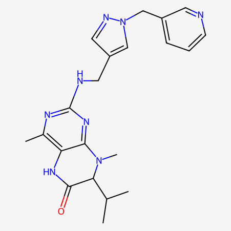 Cc1nc(NCc2cnn(Cc3cccnc3)c2)nc2c1NC(=O)C(C(C)C)N2C